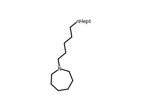 CCCCCCCCCCCCN1CCCCCC1